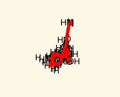 CCCC[C@H](NC(=O)[C@H](CCCCN(CC(=O)O)CC(=O)O)NC(=O)[C@H](CO)NC(=O)[C@H](CCC(N)=O)NC(=O)[C@H](CO)NC(=O)CNC(=O)COCCOCCNC(=O)CCCCCCCCCCCCCCCc1nnn[nH]1)C(=O)N[C@H]1CCC(=O)CCCCC[C@@H](C(N)=O)NC(=O)[C@H](Cc2c[nH]c3ccccc23)NC(=O)[C@H](CCCNC(=N)N)NC(=O)[C@@H](Cc2ccccc2)NC(=O)[C@@H]2C[C@@H](O)CN2C1=O